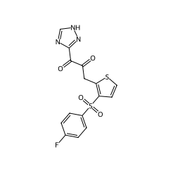 O=C(Cc1sccc1S(=O)(=O)c1ccc(F)cc1)C(=O)c1nc[nH]n1